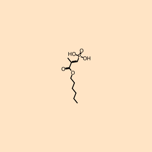 CCCCCCOC(=O)C(C)=CP(=O)(O)O